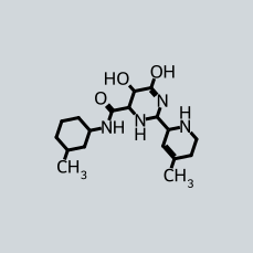 CC1=CC(C2N=C(O)C(O)C(C(=O)NC3CCCC(C)C3)N2)NCC1